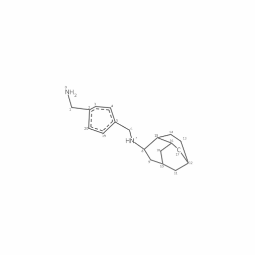 NCc1ccc(CNC2CC3CC4CCC2C(C4)C3)cc1